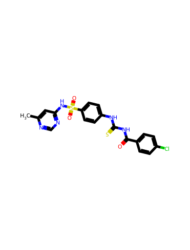 Cc1cc(NS(=O)(=O)c2ccc(NC(=S)NC(=O)c3ccc(Cl)cc3)cc2)ncn1